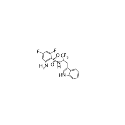 Nc1cc(F)cc(F)c1S(=O)(=O)NC(Cc1c[nH]c2ccccc12)C(F)(F)F